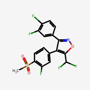 CS(=O)(=O)c1ccc(-c2c(-c3ccc(F)c(F)c3)noc2C(F)F)cc1F